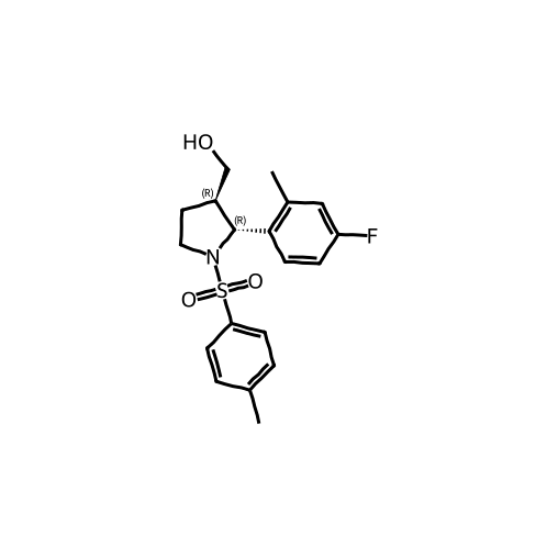 Cc1ccc(S(=O)(=O)N2CC[C@@H](CO)[C@@H]2c2ccc(F)cc2C)cc1